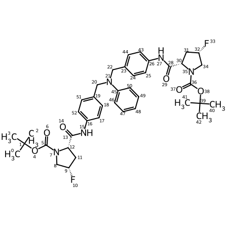 CC(C)(C)OC(=O)N1C[C@@H](F)C[C@H]1C(=O)Nc1ccc(CN(Cc2ccc(NC(=O)[C@@H]3C[C@H](F)CN3C(=O)OC(C)(C)C)cc2)c2ccccc2)cc1